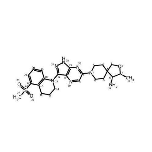 C[C@@H]1OCC2(CCN(c3cnc4c(N5CCCc6c5cccc6S(C)(=O)=O)n[nH]c4n3)CC2)[C@@H]1N